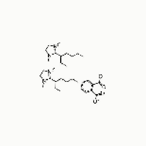 CCCCC(CC)C1=[N+](C)CCN1C.CCCCC(CC)C1=[N+](C)CCN1C.O=C([O-])c1ccccc1C(=O)[O-]